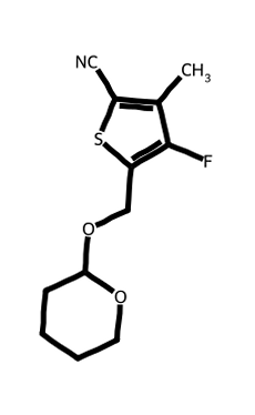 Cc1c(C#N)sc(COC2CCCCO2)c1F